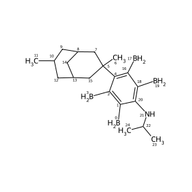 Bc1c(B)c(C2(C)CC3CC(C)CC(C3)C2)c(B)c(B)c1NC(C)C